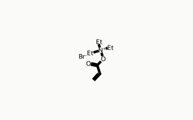 C=CC(=O)O[N+](CC)(CC)CC.[Br-]